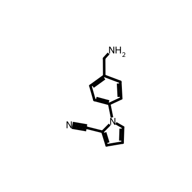 N#Cc1cccn1-c1ccc(CN)cc1